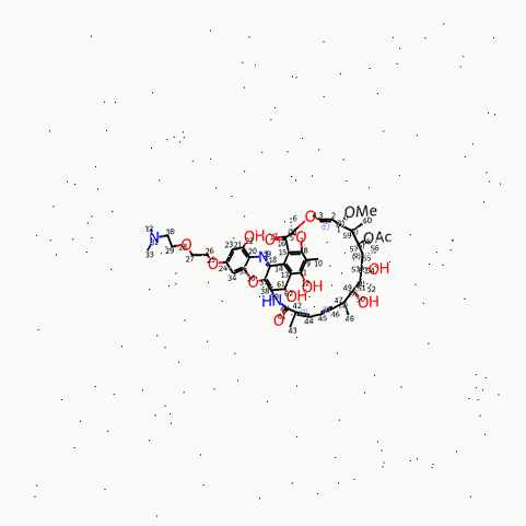 CO[C@H]1/C=C/O[C@@]2(C)Oc3c(C)c(O)c4c(c3C2=O)C2=Nc3c(O)cc(OCCOCCN(C)C)cc3OC2=C(NC(=O)/C(C)=C\C=C\[C@H](C)[C@H](O)[C@@H](C)[C@@H](O)[C@@H](C)[C@H](OC(C)=O)[C@@H]1C)C4O